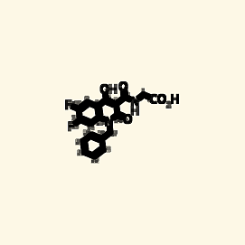 O=C(O)CNC(=O)c1c(O)c2cc(F)c(F)cc2n(Cc2ccccc2)c1=O